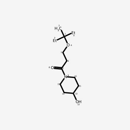 CCC(C)(CC)OCCC(=O)N1CCC(O)CC1